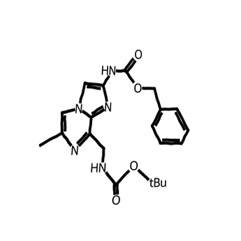 Cc1cn2cc(NC(=O)OCc3ccccc3)nc2c(CNC(=O)OC(C)(C)C)n1